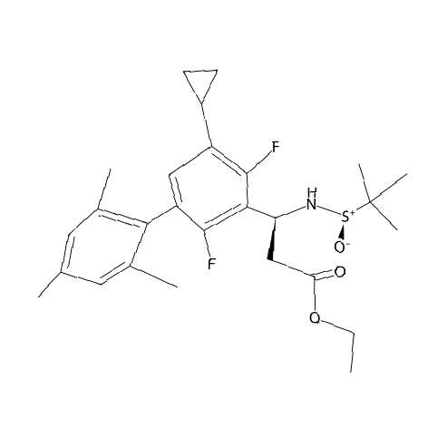 CCOC(=O)C[C@H](N[S@+]([O-])C(C)(C)C)c1c(F)c(-c2c(C)cc(C)cc2C)cc(C2CC2)c1F